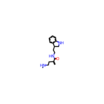 C=C(CCNC)C(=O)NCCC1CNc2ccccc21